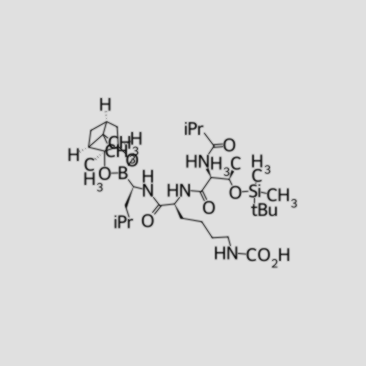 CC(C)C[C@H](NC(=O)[C@H](CCCCNC(=O)O)NC(=O)[C@@H](NC(=O)C(C)C)[C@@H](C)O[Si](C)(C)C(C)(C)C)B1O[C@@H]2C[C@@H]3C[C@@H](C3(C)C)[C@]2(C)O1